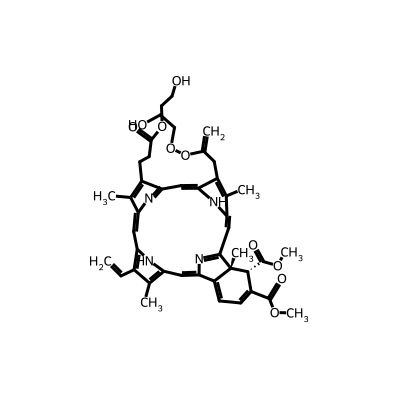 C=Cc1c(C)c2cc3nc(cc4[nH]c(cc5nc(cc1[nH]2)C(C)=C5CCC(=O)OCCO)c(CC(=C)OOCCO)c4C)[C@@]1(C)C3=CC=C(C(=O)OC)[C@H]1C(=O)OC